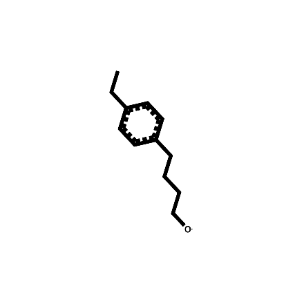 CCc1ccc(CCCC[O])cc1